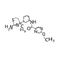 CCOc1cnc(C(=O)Nc2cccc([C@]3(C)CCSC(N)=N3)c2)cn1